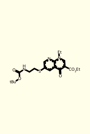 CCOC(=O)c1cn(CC)c2ncc(SCCNC(=O)OC(C)(C)C)cc2c1=O